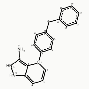 NC1=C2C(=CC=CN2c2ccc(Cc3ccccc3)cc2)NN1